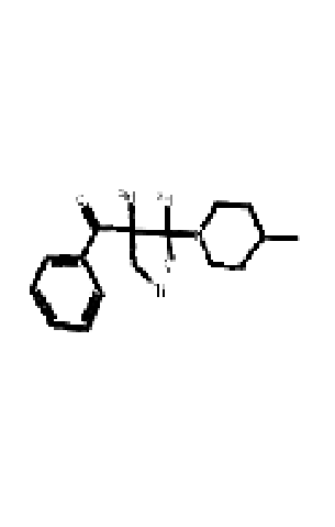 [2H]CC([2H])(C(=O)c1ccccc1)C([2H])([2H])N1CCC(C)CC1